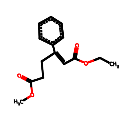 CCOC(=O)/C=C(/CCC(=O)OC)c1ccccc1